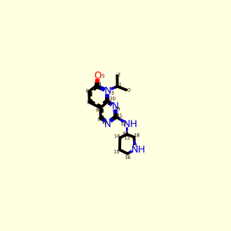 CC(C)n1c(=O)ccc2cnc(N[C@@H]3CCCNC3)nc21